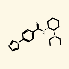 CCN(CC)[C@@H]1CCCC[C@H]1NC(=O)c1ccc(-n2ccnc2)cc1